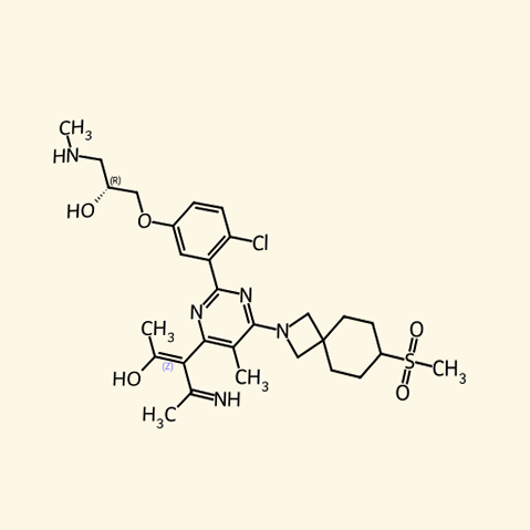 CNC[C@@H](O)COc1ccc(Cl)c(-c2nc(/C(C(C)=N)=C(\C)O)c(C)c(N3CC4(CCC(S(C)(=O)=O)CC4)C3)n2)c1